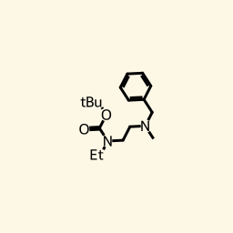 CCN(CCN(C)Cc1ccccc1)C(=O)OC(C)(C)C